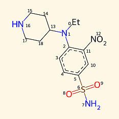 CCN(c1ccc(S(N)(=O)=O)cc1[N+](=O)[O-])C1CCNCC1